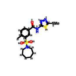 CSc1nnc(NC(=O)c2ccc(C)c(S(=O)(=O)N3CCCCCC3)c2)s1